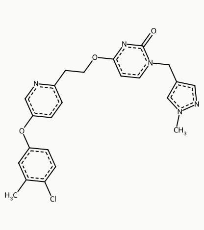 Cc1cc(Oc2ccc(CCOc3ccn(Cc4cnn(C)c4)c(=O)n3)nc2)ccc1Cl